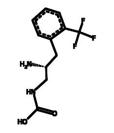 N[C@@H](CNC(=O)O)Cc1ccccc1C(F)(F)F